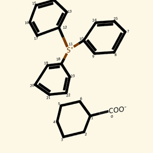 O=C([O-])C1CCCCC1.c1ccc([S+](c2ccccc2)c2ccccc2)cc1